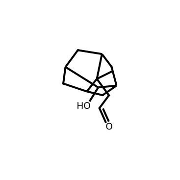 CC1(CC=O)C2CC3CC1CC(C2)C3O